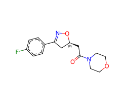 O=C(C[C@H]1CC(c2ccc(F)cc2)=NO1)N1CCOCC1